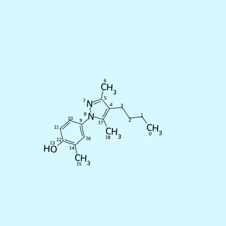 CCCCc1c(C)nn(-c2ccc(O)c(C)c2)c1C